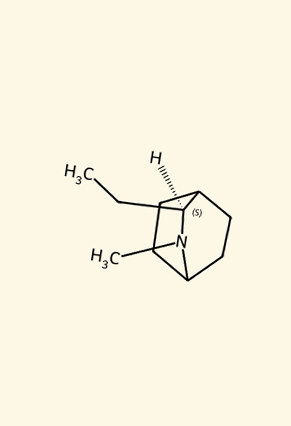 CC[C@H]1C2CCC(CC2)N1C